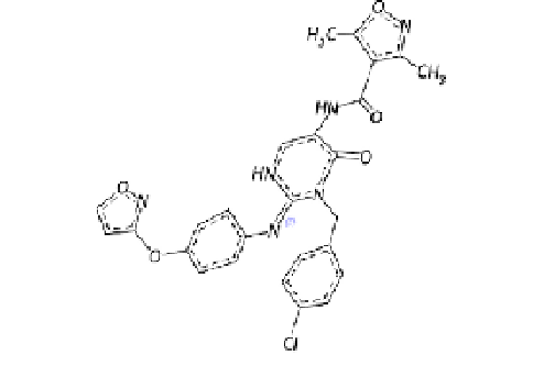 Cc1noc(C)c1C(=O)Nc1c[nH]/c(=N\c2ccc(Oc3ccon3)cc2)n(Cc2ccc(Cl)cc2)c1=O